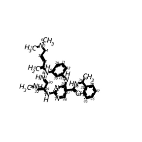 C=C(/C=C/CN(C)C)Nc1cccc(Nc2nc(N/C(C=N)=C/NC)ncc2C(=C)NC(C)c2ccccc2)c1